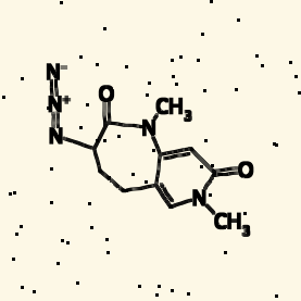 CN1C(=O)C(N=[N+]=[N-])CCc2cn(C)c(=O)cc21